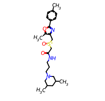 Cc1ccc(-c2nc(C[S+]([O-])CC(=O)NCCCN3CC(C)CC(C)C3)c(C)o2)cc1